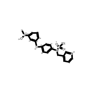 CCS(=O)(=O)N(Cc1cccnc1)c1ccc(Oc2cccc([S+](C)[O-])c2)cc1